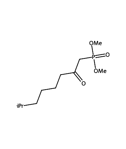 COP(=O)(CC(=O)CCCC[C](C)C)OC